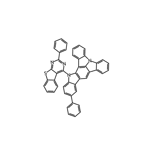 c1ccc(-c2ccc3c(c2)c2cc4c5ccccc5n5c6ccccc6c(c2n3-c2nc(-c3ccccc3)nc3sc6ccccc6c23)c45)cc1